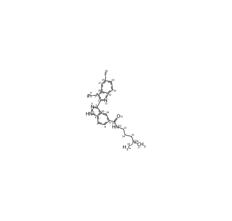 CC(C)n1c(-c2n[nH]c3ccc(C(=O)NCCCN(C)C)cc23)nc2ccc(F)cc21